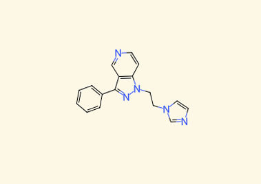 c1ccc(-c2nn(CCn3ccnc3)c3ccncc23)cc1